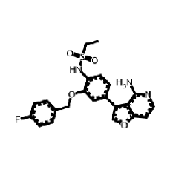 CCS(=O)(=O)Nc1ccc(-c2coc3ccnc(N)c23)cc1OCc1ccc(F)cc1